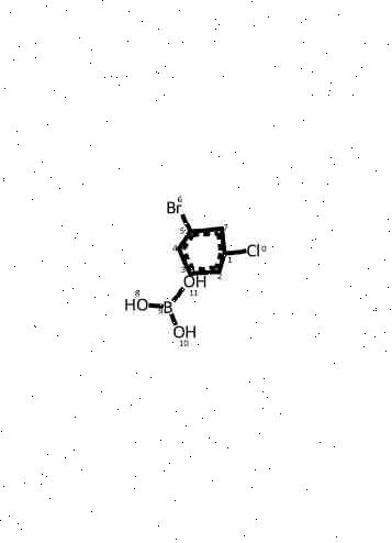 Clc1cccc(Br)c1.OB(O)O